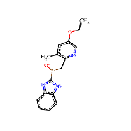 Cc1cc(OCC(F)(F)F)cnc1C[S+]([O-])c1nc2ccccc2[nH]1